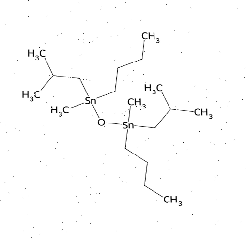 CCC[CH2][Sn]([CH3])([CH2]C(C)C)[O][Sn]([CH3])([CH2]CCC)[CH2]C(C)C